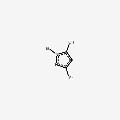 CCn1nc(C(C)C)cc1O